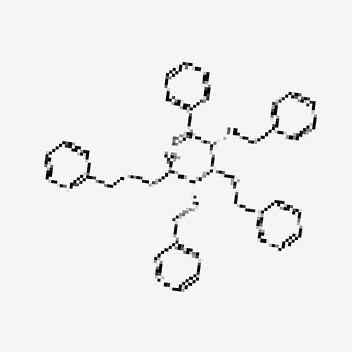 O=C(c1ccccc1)[C@H](OCc1ccccc1)[C@@H](OCc1ccccc1)[C@H](OCc1ccccc1)[C@H](O)COCc1ccccc1